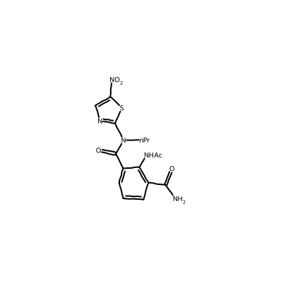 CCCN(C(=O)c1cccc(C(N)=O)c1NC(C)=O)c1ncc([N+](=O)[O-])s1